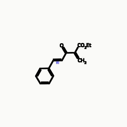 C=C(C(=O)/C=C/c1ccccc1)C(=O)OCC